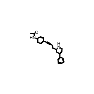 CC(=O)Nc1ccc(C#CCCC2CC(c3ccccc3)=CCN2)cc1